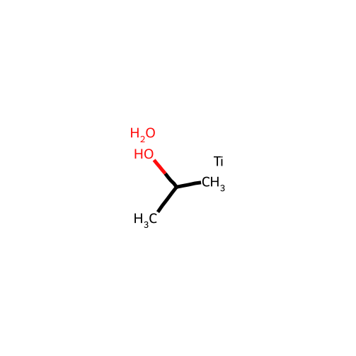 CC(C)O.O.[Ti]